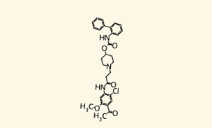 COc1cc(NC(=O)CCN2CCC(OC(=O)Nc3ccccc3-c3ccccc3)CC2)c(Cl)cc1C(C)=O